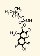 Cc1c(COP(=O)(O)OCC[N+](C)(C)C)c(=O)oc2c(F)c(O)c(F)cc12